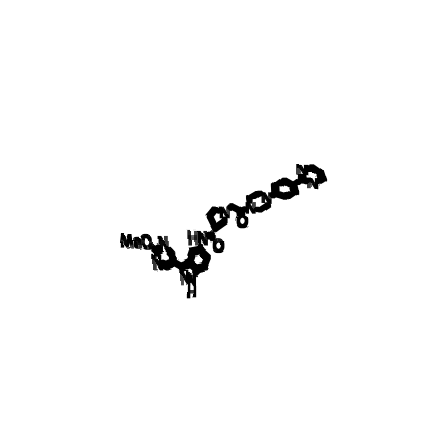 COc1ncc(-c2n[nH]c3ccc(NC(=O)[C@@H]4CCN(CC(=O)N5CCN(c6ccc(-c7ncccn7)cc6)CC5)C4)cc23)cn1